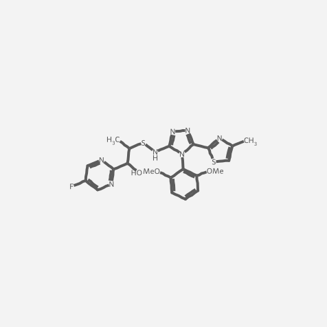 COc1cccc(OC)c1-n1c(NSC(C)C(O)c2ncc(F)cn2)nnc1-c1nc(C)cs1